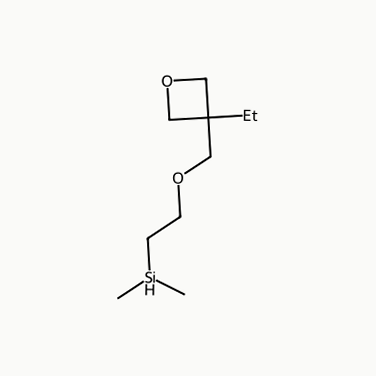 CCC1(COCC[SiH](C)C)COC1